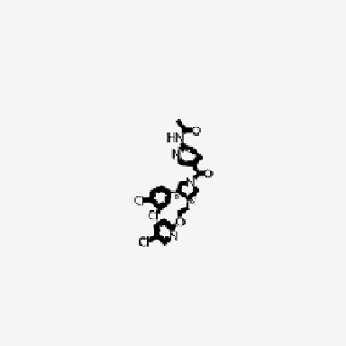 CC(=O)Nc1ccc(C(=O)N2C[C@@H](CCOc3ccc(Cl)cn3)[C@@H](c3ccc(Cl)c(Cl)c3)C2)cn1